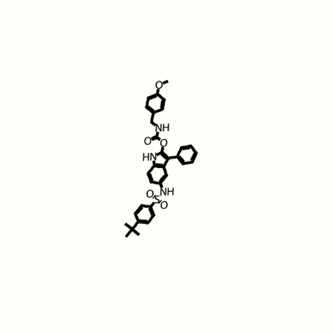 COc1ccc(CNC(=O)Oc2[nH]c3ccc(NS(=O)(=O)c4ccc(C(C)(C)C)cc4)cc3c2-c2ccccc2)cc1